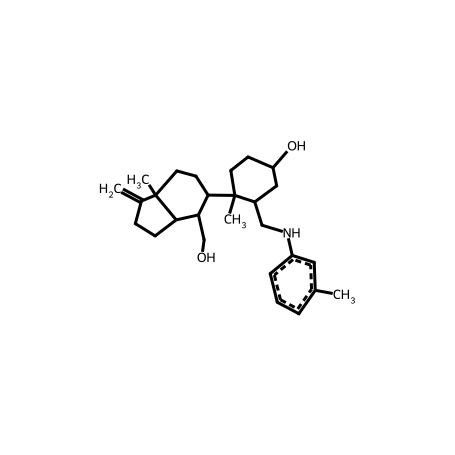 C=C1CCC2C(CO)C(C3(C)CCC(O)CC3CNc3cccc(C)c3)CCC12C